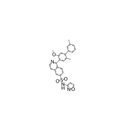 COc1cc(-c2cccc(C)c2)c(C)cc1-c1nccc2cc(S(=O)(=O)Nc3ccon3)ccc12